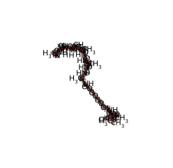 Cc1sc2c(c1C)C(c1ccc(Cl)cc1)=N[C@H](CC(=O)Nc1ccc(OCCOCCOCCOCCOCCOCCC(=O)NCCCN(C)CCCNC(=O)CCNC(=O)c3nc(NC(=O)CCNC(=O)c4cc(NC(=O)c5nc(NC(=O)CCNC(=O)c6cc(NC(=O)c7nccn7C)cn6C)cn5C)cn4C)cn3C)cc1)c1nnc(C)n1-2